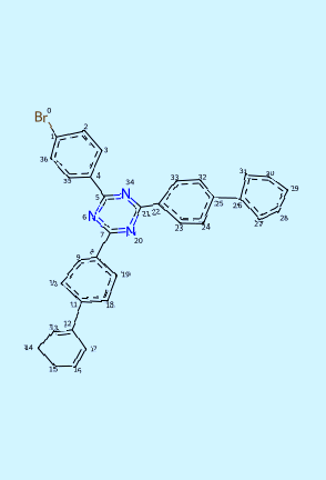 Brc1ccc(-c2nc(-c3ccc(C4=CCCC=C4)cc3)nc(-c3ccc(-c4ccccc4)cc3)n2)cc1